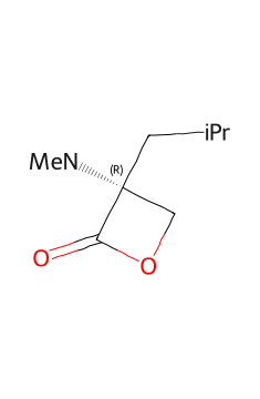 CN[C@]1(CC(C)C)COC1=O